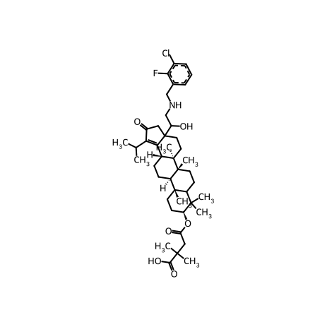 CC(C)C1=C2[C@H]3CC[C@@H]4[C@@]5(C)CC[C@H](OC(=O)CC(C)(C)C(=O)O)C(C)(C)C5CC[C@@]4(C)[C@]3(C)CCC2(C(O)CNCc2cccc(Cl)c2F)CC1=O